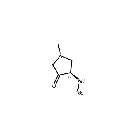 CN1CC(=O)[C@H](NC(C)(C)C)C1